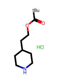 CC(C)(C)C(=O)OCCC1CCNCC1.Cl